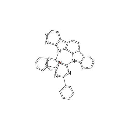 c1ccc(-c2nc(-c3ccccc3)nc(-n3c4ccccc4c4ccc5c6ccnnc6n(-c6ccccc6)c5c43)n2)cc1